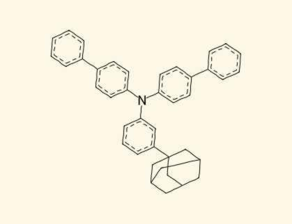 c1ccc(-c2ccc(N(c3ccc(-c4ccccc4)cc3)c3cccc(C45CC6CC(CC(C6)C4)C5)c3)cc2)cc1